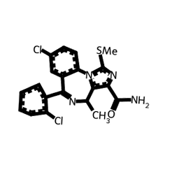 CSc1nc(C(N)=O)c2n1-c1ccc(Cl)cc1C(c1ccccc1Cl)=NC2C